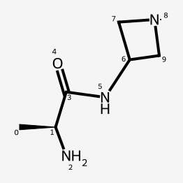 C[C@H](N)C(=O)NC1C[N]C1